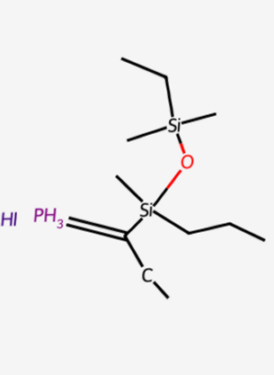 C=C(CC)[Si](C)(CCC)O[Si](C)(C)CC.I.P